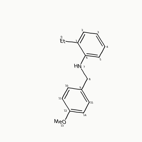 CCc1ccccc1NCc1ccc(OC)cc1